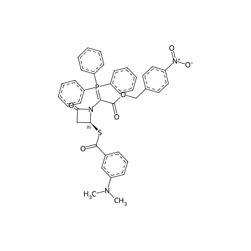 CN(C)c1cccc(C(=O)S[C@H]2CC(=O)N2C(C(=O)OCc2ccc([N+](=O)[O-])cc2)=P(c2ccccc2)(c2ccccc2)c2ccccc2)c1